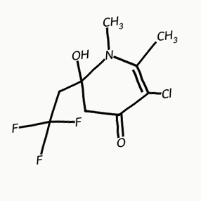 CC1=C(Cl)C(=O)CC(O)(CC(F)(F)F)N1C